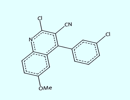 COc1ccc2nc(Cl)c(C#N)c(-c3cccc(Cl)c3)c2c1